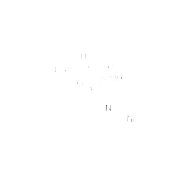 CC(C)(C)OC(=O)CN1CCNCC1.Cl.Cl